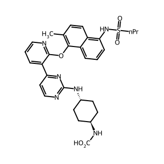 CCCS(=O)(=O)Nc1cccc2c(Oc3ncccc3-c3ccnc(N[C@H]4CC[C@H](NC(=O)O)CC4)n3)c(C)ccc12